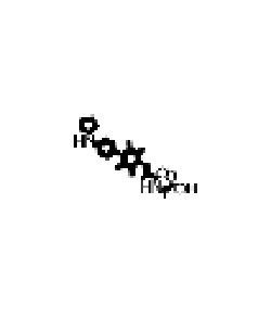 C/C(=C\c1c(C)c(C)c(-c2ccc(NC3CCCC3)cc2)c(C)c1C)C(=O)N[C@H](C)C(=O)O